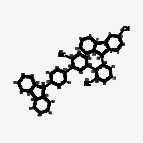 N#Cc1ccc2c(c1)c1ccccc1n2-c1cccc(C#N)c1-c1ccc(C#N)c(-c2ccc(-n3c4ccccc4c4ccccc43)cc2)c1